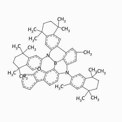 Cc1cc2c3c(c1)N(c1cc4c(cc1C)C(C)(C)CCC4(C)C)c1ccc4c(oc5ccccc54)c1B3N(c1ccc3c(c1)C(C)(C)CCC3(C)C)c1cc3c(cc1-2)C(C)(C)CCC3(C)C